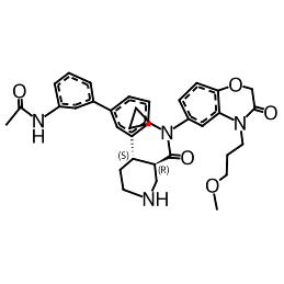 COCCCN1C(=O)COc2ccc(N(C(=O)[C@H]3CNCC[C@@H]3c3cccc(-c4cccc(NC(C)=O)c4)c3)C3CC3)cc21